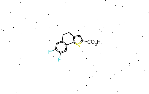 O=C(O)c1cc2c(s1)-c1cc(F)c(F)cc1CC2